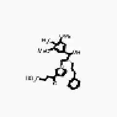 COc1cc(C(O)[C@H](CCCc2ccccc2)Cn2ccc(C(=O)CCC(=O)O)c2)cc(OC)c1C